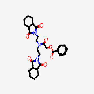 O=C(OCC(=O)N(CCN1C(=O)C2CCCCC2C1=O)CCN1C(=O)C2CCCCC2C1=O)c1ccccc1